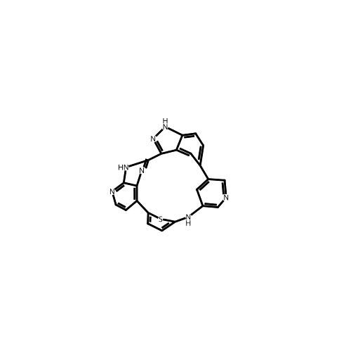 c1cc2c3ccc([nH]c4cncc(c4)c4ccc5[nH]nc(c6nc2c(n1)[nH]6)c5c4)s3